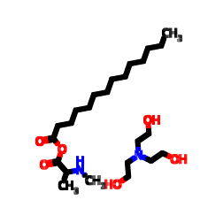 CCCCCCCCCCCCCC(=O)OC(=O)C(C)NC.OCCN(CCO)CCO